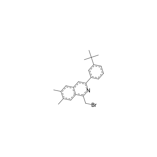 Cc1cc2cc(-c3cccc(C(C)(C)C)c3)nc(CBr)c2cc1C